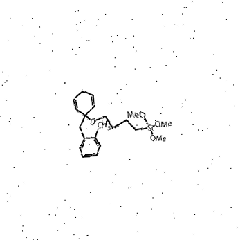 CO[Si](CCCCOC1(Cc2ccccc2C)C=C[CH]C=C1)(OC)OC